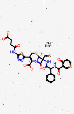 O=C([O-])CCC(=O)Nc1nnc(C2=C(C(=O)[O-])N3C(=O)C(C=S)(NC(=O)C(NC(=O)c4csccc4=O)c4ccccc4)[C@@H]3SC2)s1.[Na+].[Na+]